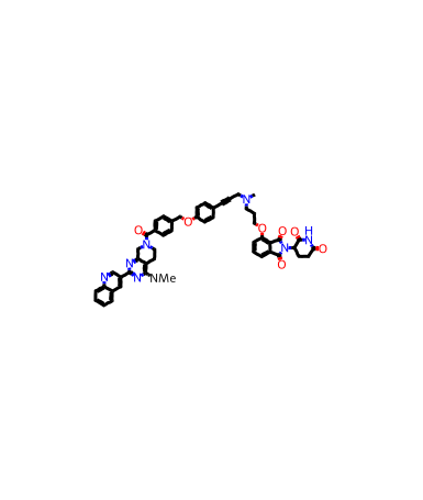 CNc1nc(-c2cnc3ccccc3c2)nc2c1CCN(C(=O)c1ccc(COc3ccc(C#CCN(C)CCCOc4cccc5c4C(=O)N(C4CCC(=O)NC4=O)C5=O)cc3)cc1)C2